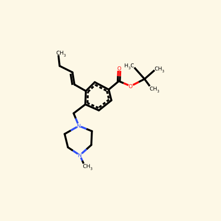 CC/C=C/c1cc(C(=O)OC(C)(C)C)ccc1CN1CCN(C)CC1